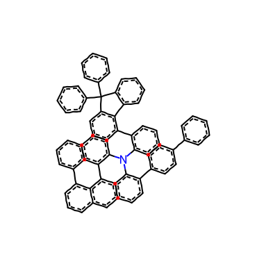 c1ccc(-c2ccc(-c3ccccc3N(c3ccccc3-c3cccc4c3-c3ccccc3C4(c3ccccc3)c3ccccc3)c3ccccc3-c3cccc4cccc(-c5ccccc5)c34)cc2)cc1